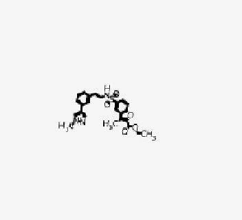 CCOC(=O)c1oc2ccc(S(=O)(=O)NCCc3cccc(-c4cnn(C)c4)c3)cc2c1C